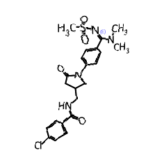 CN(C)/C(=N/S(C)(=O)=O)c1ccc(N2CC(CNC(=O)c3ccc(Cl)cc3)CC2=O)cc1